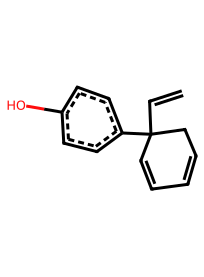 C=CC1(c2ccc(O)cc2)C=CC=CC1